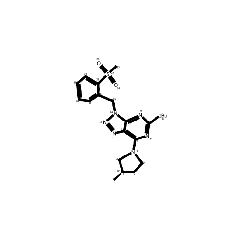 C[C@@H]1CCN(c2nc(C(C)(C)C)nc3c2nnn3Cc2ccccc2S(C)(=O)=O)C1